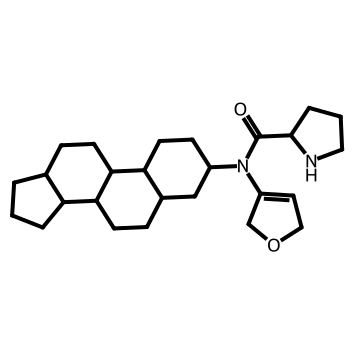 O=C(C1CCCN1)N(C1=CCOC1)C1CCC2C(CCC3C4CCCC4CCC23)C1